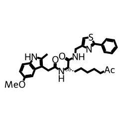 COc1ccc2[nH]c(C)c(CC(=O)N[C@@H](CCCCCC(C)=O)C(=O)NCc3csc(-c4ccccc4)n3)c2c1